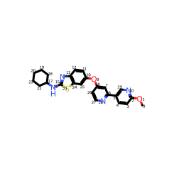 COc1ccc(-c2cc(Oc3ccc4nc(NC5CCCCC5)sc4c3)ccn2)cn1